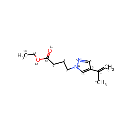 C=C(C)c1cnn(CCCC(=O)OCC)c1